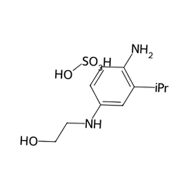 CC(C)c1cc(NCCO)ccc1N.O=S(=O)(O)O